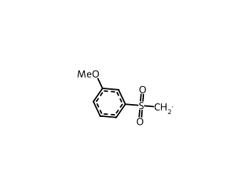 [CH2]S(=O)(=O)c1cccc(OC)c1